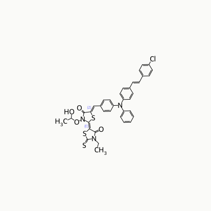 CCN1C(=O)/C(=c2\s/c(=C\c3ccc(N(c4ccccc4)c4ccc(C=Cc5ccc(Cl)cc5)cc4)cc3)c(=O)n2OC(C)O)SC1=S